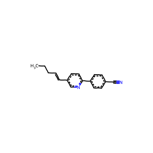 CCCC=Cc1ccc(-c2ccc(C#N)cc2)nc1